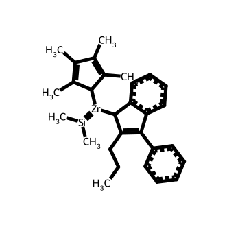 CCCC1=C(c2ccccc2)c2ccccc2[CH]1[Zr]([CH]1C(C)=C(C)C(C)=C1C)=[Si](C)C